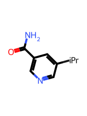 CC(C)c1cncc(C(N)=O)c1